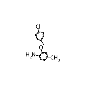 Cc1ccc(N)c(OCc2ccc(Cl)cc2)c1